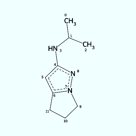 CC(C)Nc1cc2n(n1)CCC2